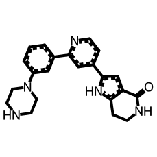 O=C1NCCc2[nH]c(-c3ccnc(-c4cccc(N5CCNCC5)c4)c3)cc21